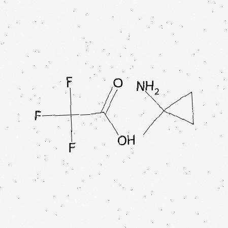 CC1(N)CC1.O=C(O)C(F)(F)F